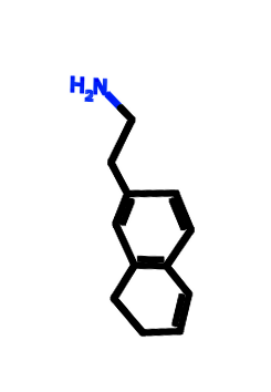 NCCc1ccc2c(c1)CCC=C2